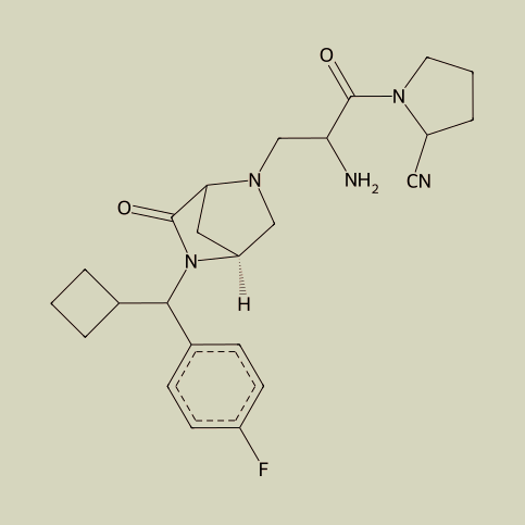 N#CC1CCCN1C(=O)C(N)CN1C[C@@H]2CC1C(=O)N2C(c1ccc(F)cc1)C1CCC1